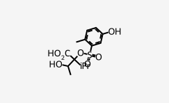 Cc1ccc(O)cc1S(=O)(=O)OC(C(=O)O)(C(C)C)C(C)O